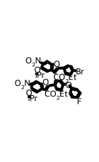 CCOC(=O)c1c(-c2ccc(Br)cc2)oc2cc([N+](=O)[O-])c(OC(C)C)cc12.CCOC(=O)c1c(-c2ccc(Oc3ccc(F)cc3)cc2)oc2cc([N+](=O)[O-])c(OC(C)C)cc12